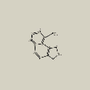 Nc1ncnc2ccc3c(c12)COC3